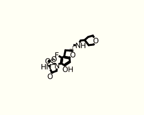 O=C1CN(c2c(O)cc3c(c2F)C[C@H](CNCC2CCOCC2)O3)S(=O)(=O)N1